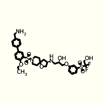 CCOc1ccc(-c2ccc(CN)cc2)cc1S(=O)(=O)N1CCC2(CC1)C[C@@H](NC[C@H](O)COc1cccc(S(=O)(=O)C(F)(F)CO)c1)CO2